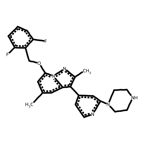 Cc1cc(OCc2c(F)cccc2F)n2nc(C)c(-c3ccnc(N4CCNCC4)c3)c2c1